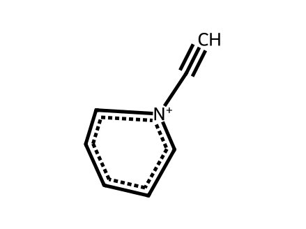 C#C[n+]1ccccc1